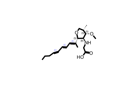 CCC/C=C/C=C/C=C(\C)[C@@H]1OC[C@H](C)[C@H](OC)[C@H]1NCC(=O)O